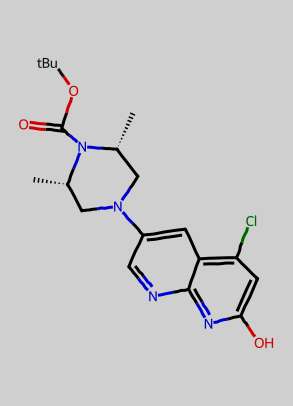 C[C@@H]1CN(c2cnc3nc(O)cc(Cl)c3c2)C[C@H](C)N1C(=O)OC(C)(C)C